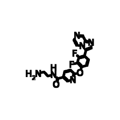 NCCNC(=O)c1ccc(Oc2ccc(-c3cnc4cnccn34)c(F)c2F)nc1